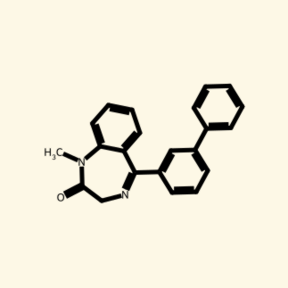 CN1C(=O)CN=C(c2cccc(-c3ccccc3)c2)c2ccccc21